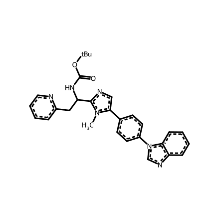 Cn1c(-c2ccc(-n3cnc4ccccc43)cc2)cnc1C(Cc1ccccn1)NC(=O)OC(C)(C)C